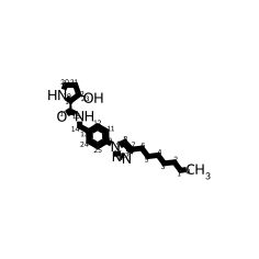 CCCCCCCc1cn(-c2ccc(CNC(=O)[C@H]3NCC[C@@H]3O)cc2)nn1